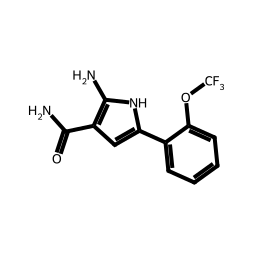 NC(=O)c1cc(-c2ccccc2OC(F)(F)F)[nH]c1N